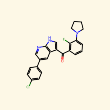 O=C(c1cccc(N2CCCC2)c1F)c1c[nH]c2ncc(-c3ccc(Cl)cc3)cc12